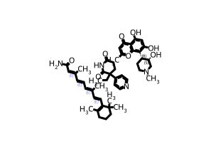 CC1=C(/C=C/C(C)=C/C=C/C(C)=C/C(N)=O)C(C)(C)CCC1.CCC1(c2ccncc2)CCC(=O)NC1=O.Cc1cc(=O)c2c(O)cc(O)c([C@H]3CCN(C)C[C@H]3O)c2o1